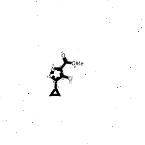 COC(=O)c1nsc(C2CC2)c1Cl